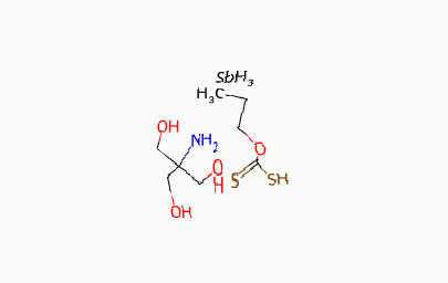 CCCOC(=S)S.NC(CO)(CO)CO.[SbH3]